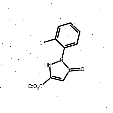 CCOC(=O)c1cc(=O)n(-c2ccccc2Cl)[nH]1